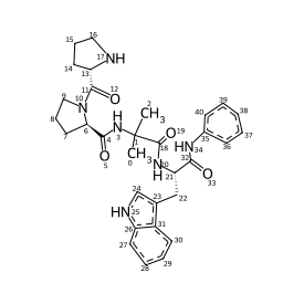 CC(C)(NC(=O)[C@H]1CCCN1C(=O)[C@@H]1CCCN1)C(=O)N[C@@H](Cc1c[nH]c2ccccc12)C(=O)Nc1ccccc1